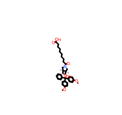 COc1ccc(C(OC[C@@]2(C)CN(C(=O)CCCCCCCCC(=O)O)C[C@@]2(C)CO)(c2ccccc2)c2ccc(OC)cc2)cc1